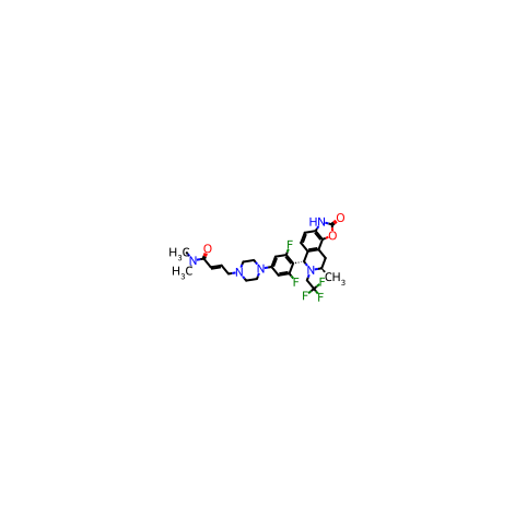 C[C@@H]1Cc2c(ccc3[nH]c(=O)oc23)[C@@H](c2c(F)cc(N3CCN(C/C=C/C(=O)N(C)C)CC3)cc2F)N1CC(F)(F)F